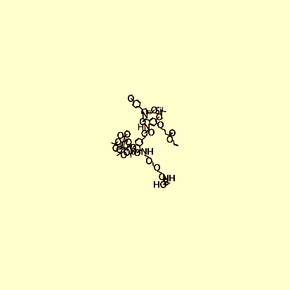 C=CCOC(=O)CCCOc1cc(NC(=O)OCc2ccc(O[C@@H]3O[C@H](C(=O)OC)[C@@H](OC(C)=O)[C@H](OC(C)=O)[C@H]3OC(C)=O)c(C(=O)NCCOCCOCCONB(C)O)c2)c(C(=O)N2C=C(c3ccc(OC)cc3)C[C@H]2CO[Si](C)(C)C(C)(C)C)cc1OC